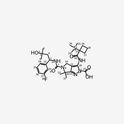 CC(C)(O)CC(NC(=O)N1Cc2c(nn(C(=O)O)c2NC(=O)C2([Si](C)(C)C)CCC2)C1(C)C)c1cccc(F)c1